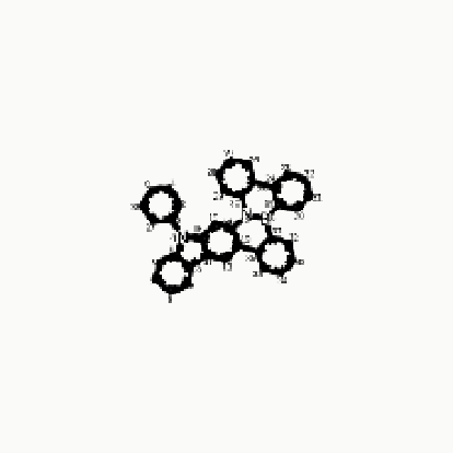 c1ccc(-n2c3ccccc3c3cc4c(cc32)N2B(c3ccccc3-c3ccccc32)c2ccccc2-4)cc1